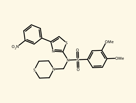 COc1ccc(S(=O)(=O)N(CN2CCSCC2)c2nc(-c3cccc([N+](=O)[O-])c3)cs2)cc1OC